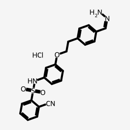 Cl.N#Cc1ccccc1S(=O)(=O)Nc1cccc(OCCc2ccc(/C=N\N)cc2)c1